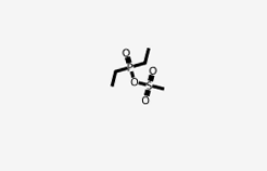 CCP(=O)(CC)OS(C)(=O)=O